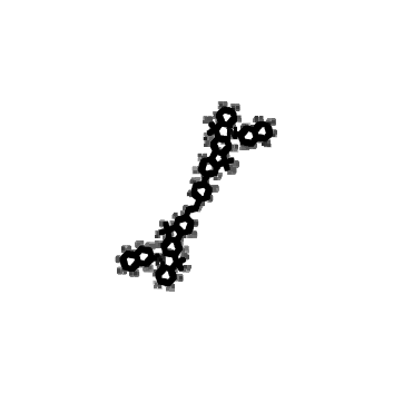 CC1(C)c2cc(/C=C/c3ccc(-c4ccc5c(c4)C(C)(C)c4cc6c(cc4-5)C(C)(C)c4ccccc4N6c4ccc5ccccc5c4)cc3)ccc2-c2cc3c(cc21)N(c1ccc2ccccc2c1)c1ccccc1C3(C)C